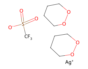 C1CCOOC1.C1CCOOC1.O=S(=O)([O-])C(F)(F)F.[Ag+]